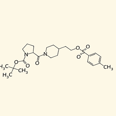 Cc1ccc(S(=O)(=O)OCCC2CCN(C(=O)C3CCCN3C(=O)OC(C)(C)C)CC2)cc1